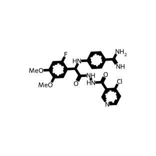 COc1cc(F)c(C(Nc2ccc(C(=N)N)cc2)C(=O)NNC(=O)c2cnccc2Cl)cc1OC